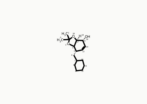 CC1(C)OC2[C@@H](CC3CCCCC3)C=C[C@@H](O)[C@@H]2O1